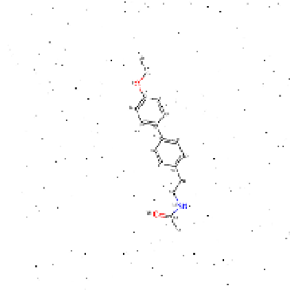 CCOc1ccc(-c2ccc(CCNC(C)=O)cc2)cc1